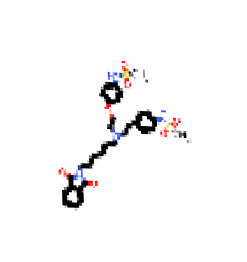 CS(=O)(=O)Nc1ccc(CCN(CCCCCCN2C(=O)c3ccccc3C2=O)CCOc2ccc(NS(C)(=O)=O)cc2)cc1